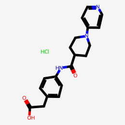 Cl.O=C(O)Cc1ccc(NC(=O)C2CCN(c3ccncc3)CC2)cc1